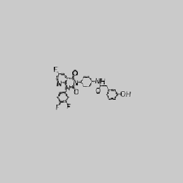 O=C(Cc1cccc(O)c1)NC1CCC(n2c(=O)c3cc(F)cnc3n(-c3ccc(F)c(F)c3)c2=O)CC1